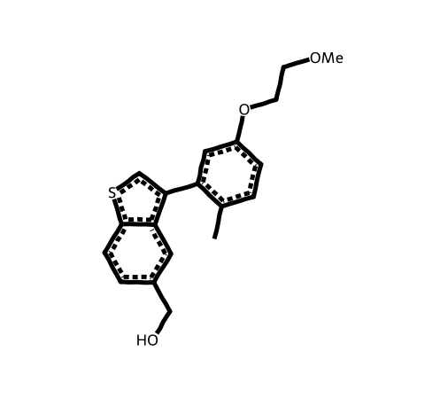 COCCOc1ccc(C)c(-c2csc3ccc(CO)cc23)c1